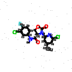 CN(C(=O)[C@@H]1COC(=O)N1c1cc(C(C)(C)C)cc(Cl)n1)c1ccc(F)c(Cl)c1